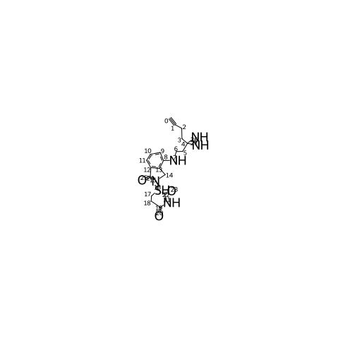 C#CCCC1(CCNc2cccc3c2CN([SH]2CCC(=O)NC2=O)C3=O)NN1